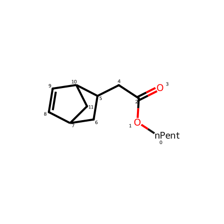 CCCCCOC(=O)CC1CC2C=CC1C2